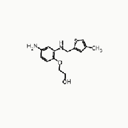 Cc1csc(CNc2cc(N)ccc2OCCO)c1